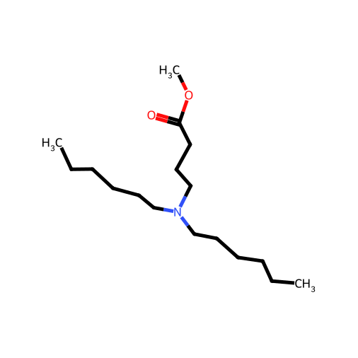 CCCCCCN(CCCCCC)CCCC(=O)OC